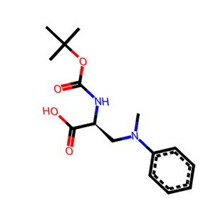 CN(C[C@H](NC(=O)OC(C)(C)C)C(=O)O)c1ccccc1